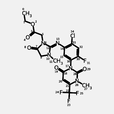 CCOC(=O)CN1C(=O)CN(C)C1=Nc1cc(-n2c(=O)cc(C(F)(F)F)n(C)c2=O)c(F)cc1Cl